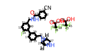 N#Cc1cccc(C(=O)NCc2ccc(F)c(-c3cccc(CN4C[C@@H]5C[C@H]4CN5)c3)c2)c1.O=C(O)C(F)(F)F.O=C(O)C(F)(F)F